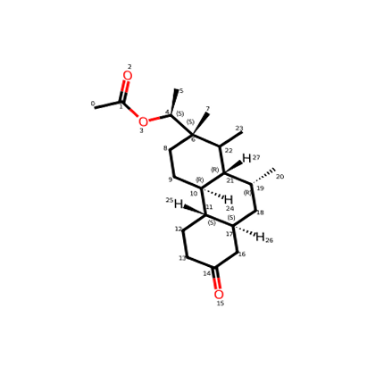 CC(=O)O[C@@H](C)[C@@]1(C)CC[C@@H]2[C@H]3CCC(=O)C[C@@H]3C[C@@H](C)[C@H]2C1C